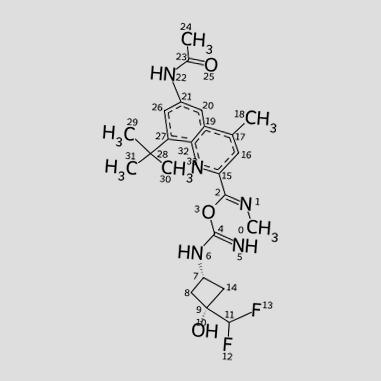 C/N=C(\OC(=N)N[C@H]1C[C@](O)(C(F)F)C1)c1cc(C)c2cc(NC(C)=O)cc(C(C)(C)C)c2n1